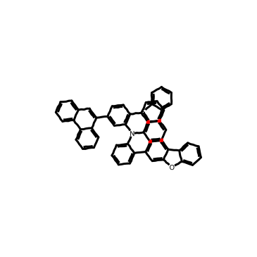 c1ccc(-c2ccc(-c3cc4ccccc4c4ccccc34)cc2N(c2ccccc2-c2ccc3c(c2)oc2ccccc23)c2cccc3c2sc2ccccc23)cc1